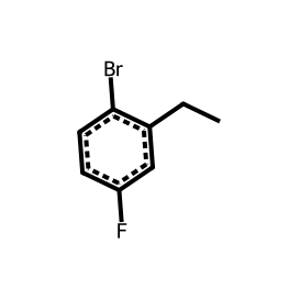 CCc1cc(F)ccc1Br